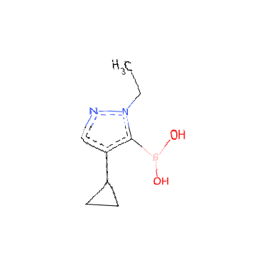 CCn1ncc(C2CC2)c1B(O)O